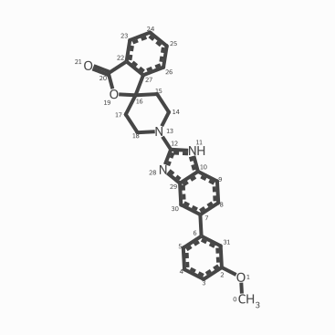 COc1cccc(-c2ccc3[nH]c(N4CCC5(CC4)OC(=O)c4ccccc45)nc3c2)c1